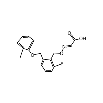 Cc1ccccc1OCc1cccc(F)c1CON=CC(=O)O